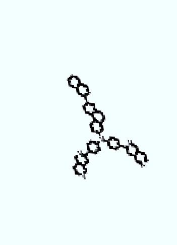 c1ccc2cc(-c3ccc4c(ccc5cc(N(c6ccc(-c7cc8cnccc8cn7)cc6)c6ccc(-c7cc8cnccc8cn7)cc6)ccc54)c3)ccc2c1